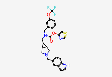 O=C(Oc1cscn1)N(Cc1cccc(OC(F)(F)F)c1)CC1C2CN(Cc3ccc4[nH]ccc4c3)CC21